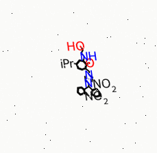 CC(C)c1ccc(CN2CCN(C(c3ccccc3[N+](=O)[O-])c3ccccc3[N+](=O)[O-])CC2)c(=O)c(NCCO)c1